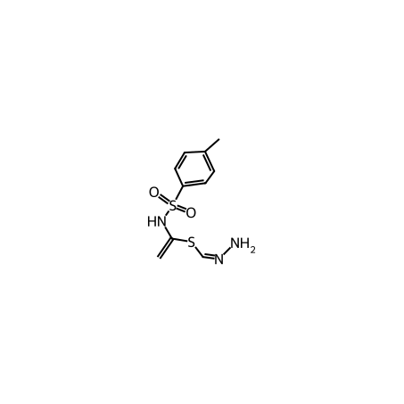 C=C(NS(=O)(=O)c1ccc(C)cc1)S/C=N\N